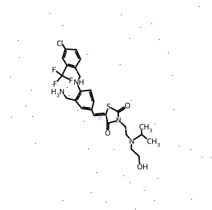 CC(C)N(CCO)CCN1C(=O)S/C(=C\c2ccc(NCc3ccc(Cl)cc3C(F)(F)F)c(CN)c2)C1=O